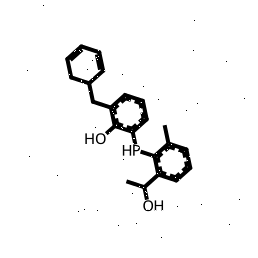 Cc1cccc(C(C)O)c1Pc1cccc(CC2C=CC=CC2)c1O